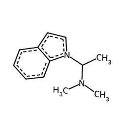 CC(N(C)C)n1ccc2ccccc21